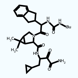 CCC(C)NC(=O)NC(C(=O)N1CC2C(C1C(=O)NC(CC1CC1)C(=O)C(N)=O)C2(C)C)C1Cc2ccccc2C1